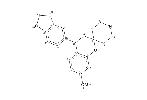 COc1ccc2c(c1)OC1(CCNCC1)CC2c1ccc2c(c1)OCO2